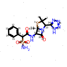 CC1(C)S[C@@H]2C(NC(=O)C(c3ccccc3)S(N)(=O)=O)C(=O)N2C1c1nnn[nH]1